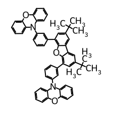 CC(C)(C)c1cc(-c2cccc(N3c4ccccc4Oc4ccccc43)c2)c2oc3c(-c4cccc(N5c6ccccc6Oc6ccccc65)c4)cc(C(C)(C)C)cc3c2c1